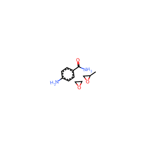 C1CO1.CC1CO1.NC(=O)c1ccc(N)cc1